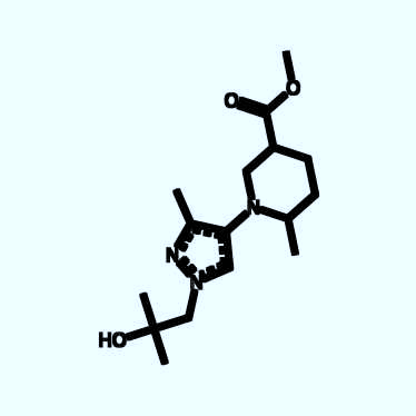 COC(=O)C1CCC(C)N(c2cn(CC(C)(C)O)nc2C)C1